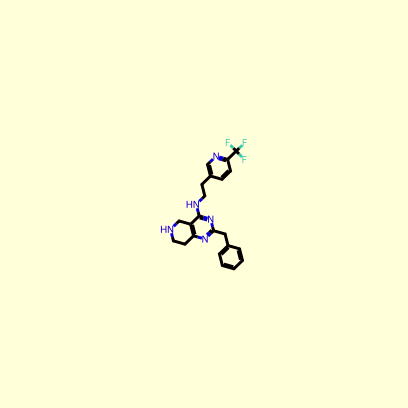 FC(F)(F)c1ccc(CCNc2nc(Cc3ccccc3)nc3c2CNCC3)cn1